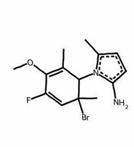 COC1=C(C)C(n2c(C)ccc2N)C(C)(Br)C=C1F